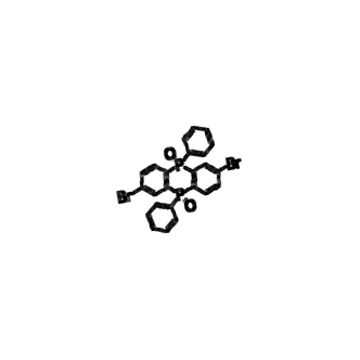 O=P1(c2ccccc2)c2ccc(Br)cc2P(=O)(c2ccccc2)c2ccc(Br)cc21